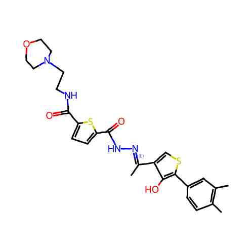 C/C(=N\NC(=O)c1ccc(C(=O)NCCN2CCOCC2)s1)c1csc(-c2ccc(C)c(C)c2)c1O